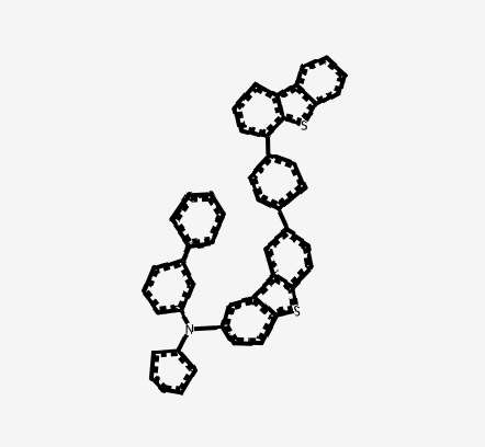 c1ccc(-c2cccc(N(c3ccccc3)c3ccc4sc5ccc(-c6ccc(-c7cccc8c7sc7ccccc78)cc6)cc5c4c3)c2)cc1